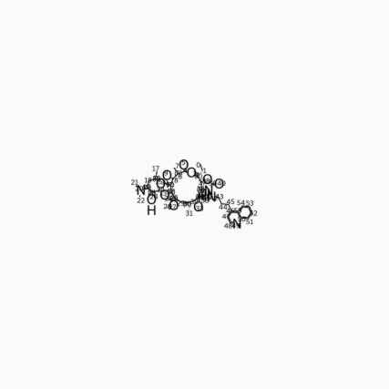 CC[C@H]1OC(=O)[C@H](C)C(=O)[C@H](C)[C@@H](OC2O[C@H](C)C[C@H](N(C)C)[C@H]2O)[C@@](C)(OC)C[C@@H](C)C(=O)[C@H](C)[C@@H]2C1OC(=O)N2NCCCc1ccnc2ccccc12